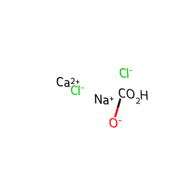 O=C([O-])O.[Ca+2].[Cl-].[Cl-].[Na+]